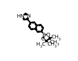 CC1(C)OB(c2ccc3cc(-c4c[nH]cn4)ccc3c2)OC1(C)C